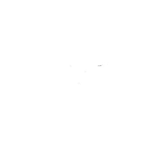 CC(=O)N[C@@H]1C[C@@H]2CN(c3ccc(C(F)(F)F)cc3)c3ccc(C)nc3N2C1